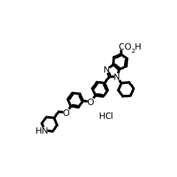 Cl.O=C(O)c1ccc2c(c1)nc(-c1ccc(Oc3cccc(OCC4CCNCC4)c3)cc1)n2C1CCCCC1